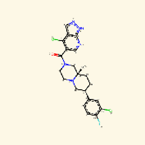 O=C(c1cnc2[nH]ncc2c1Cl)N1CCN2C[C@H](c3ccc(F)c(Cl)c3)CC[C@H]2C1